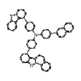 c1ccc2cc(-c3ccc(N(c4ccc(-c5cccc6oc7c8ccccc8ccc7c56)cc4)c4ccc(-c5cccc6sc7ccccc7c56)cc4)cc3)ccc2c1